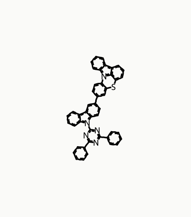 c1ccc(-c2nc(-c3ccccc3)nc(-n3c4ccccc4c4cc(-c5ccc6c(c5)Sc5cccc7c8ccccc8n-6c57)ccc43)n2)cc1